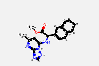 COC(=O)C(Nc1cc(C)nc2ncnn12)c1ccc2ccccc2c1